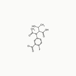 CC(=O)N(c1ccc(F)c([N+](=O)[O-])c1)C(C(=O)O)C(C)O